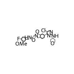 COc1cc(F)ccc1CNC(=O)CN1Cc2ccc(-c3nc(NC4CCOCC4)ncc3Cl)cc2C1=O